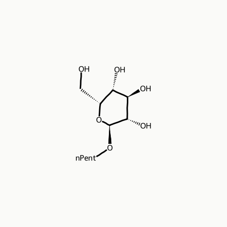 CCCCCO[C@H]1O[C@H](CO)[C@H](O)[C@@H](O)[C@@H]1O